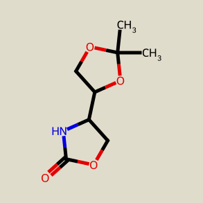 CC1(C)OCC(C2COC(=O)N2)O1